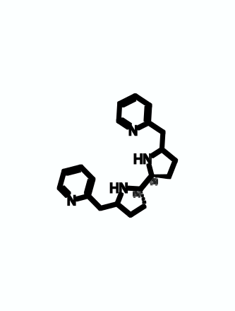 c1ccc(CC2CC[C@@H]([C@@H]3CCC(Cc4ccccn4)N3)N2)nc1